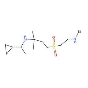 CCNCCS(=O)(=O)CCC(C)(C)NC(C)C1CC1